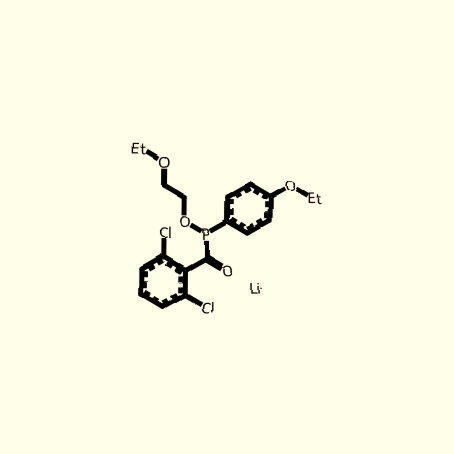 CCOCCOP(C(=O)c1c(Cl)cccc1Cl)c1ccc(OCC)cc1.[Li]